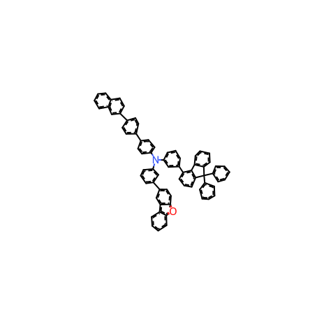 c1ccc(C2(c3ccccc3)c3ccccc3-c3c(-c4cccc(N(c5ccc(-c6ccc(-c7ccc8ccccc8c7)cc6)cc5)c5cccc(-c6ccc7oc8ccccc8c7c6)c5)c4)cccc32)cc1